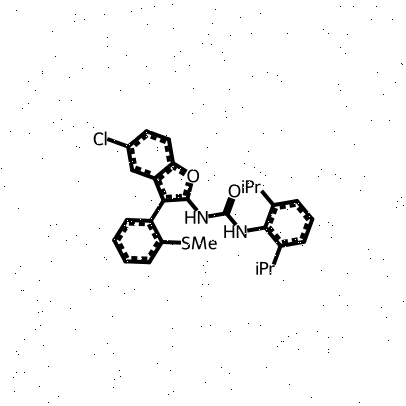 CSc1ccccc1-c1c(NC(=O)Nc2c(C(C)C)cccc2C(C)C)oc2ccc(Cl)cc12